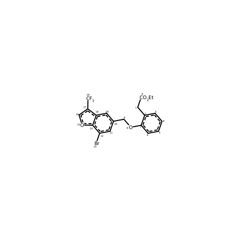 CCOC(=O)Cc1ccccc1OCc1cc(Br)c2occ(C(F)(F)F)c2c1